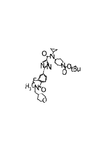 CN(CC1CCOCC1)C(=O)c1ccc(-c2ncc(C(=O)N(C3CC3)C3CCN(C(=O)OC(C)(C)C)CC3)cn2)cc1F